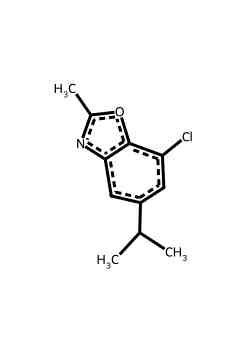 Cc1nc2cc(C(C)C)cc(Cl)c2o1